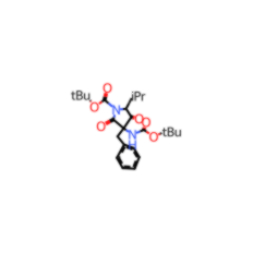 CC(C)C1C(=O)C(Cc2ccccc2)(NC(=O)OC(C)(C)C)C(=O)N1C(=O)OC(C)(C)C